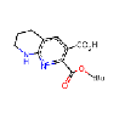 CC(C)(C)OC(=O)c1nc2c(cc1C(=O)O)CCCN2